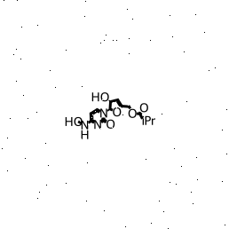 CC(C)C(=O)OCC1=C[C@@H](O)[C@H](n2ccc(NO)nc2=O)O1